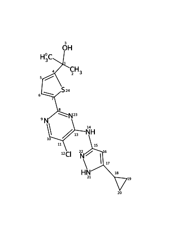 CC(C)(O)c1ccc(-c2ncc(Cl)c(Nc3cc(C4CC4)[nH]n3)n2)s1